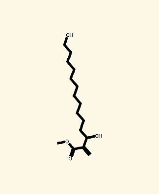 C=C(C(=O)OC)C(O)CCCCCCCCCCCO